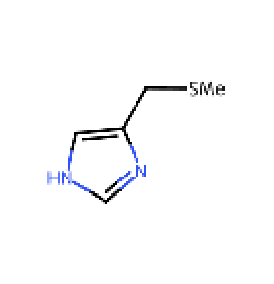 CSCc1c[nH]cn1